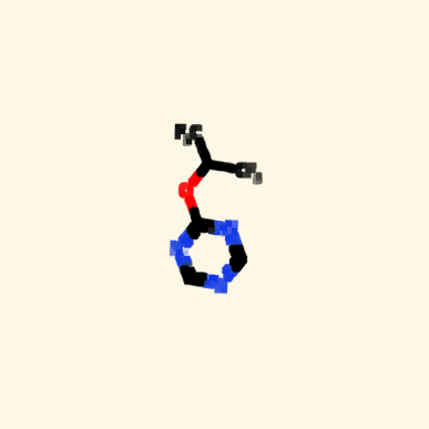 FC(F)(F)C(Oc1ncncn1)C(F)(F)F